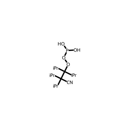 CC(C)C(C#N)(C(C)C)C(OOP(O)O)(C(C)C)C(C)C